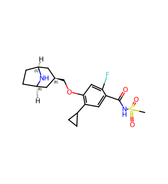 CS(=O)(=O)NC(=O)c1cc(C2CC2)c(OC[C@H]2C[C@H]3CC[C@@H](C2)N3)cc1F